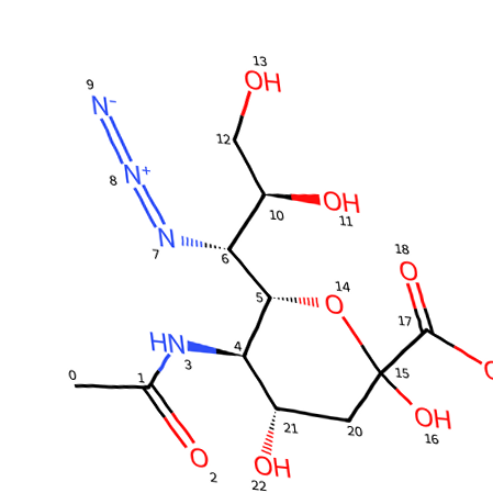 CC(=O)N[C@H]1[C@H]([C@H](N=[N+]=[N-])[C@H](O)CO)OC(O)(C(=O)O)C[C@@H]1O